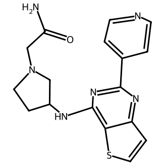 NC(=O)CN1CCC(Nc2nc(-c3ccncc3)nc3ccsc23)C1